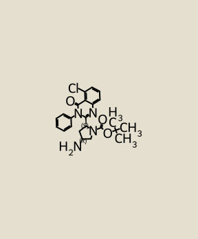 CC(C)(C)OC(=O)N1C[C@H](N)C[C@H]1c1nc2cccc(Cl)c2c(=O)n1-c1ccccc1